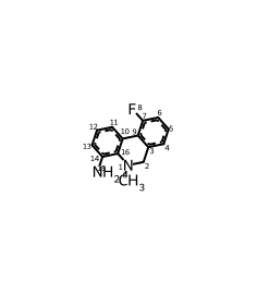 CN1Cc2cccc(F)c2-c2cccc(N)c21